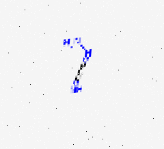 N=C=NN